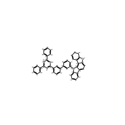 C1=Cc2c(oc3ccc4c5ccccc5n(-c5cccc(-c6cccc(-c7nc(-c8ccccc8)nc(-c8ccccc8)n7)c6)c5)c4c23)CC1